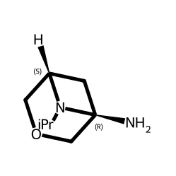 CC(C)N1[C@@H]2COC[C@@]1(N)C2